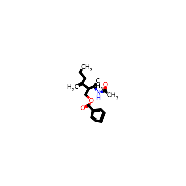 C=C(CCC)C(COC(=O)c1ccccc1)C(C)NC(C)=O